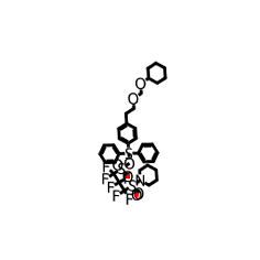 O=S(=O)(OS(c1ccccc1)(c1ccccc1)c1ccc(CCOCOC2CCCCC2)cc1)C(F)(F)C(F)(F)C(F)(F)S(=O)(=O)N1CCCCC1